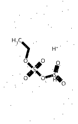 CCOS(=O)(=O)O[SH](=O)=O.[H+]